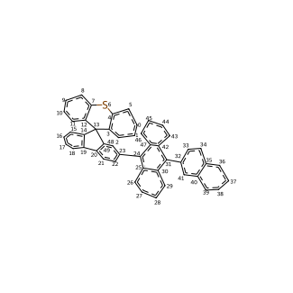 c1ccc2c(c1)Sc1ccccc1C21c2ccccc2-c2ccc(-c3c4ccccc4c(-c4ccc5ccccc5c4)c4ccccc34)cc21